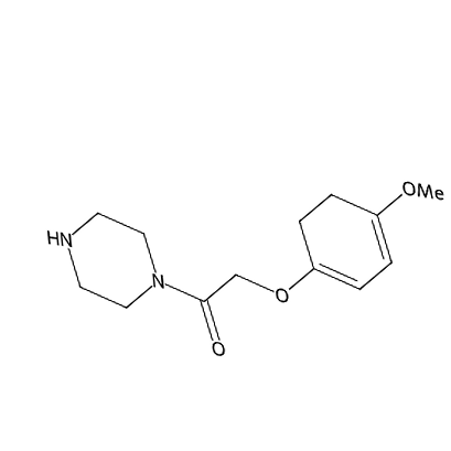 COC1=CC=C(OCC(=O)N2CCNCC2)CC1